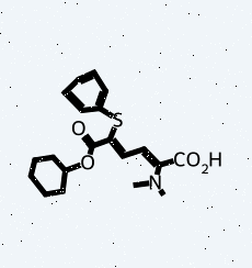 CN(C)/C(=C\C=C(/Sc1ccccc1)C(=O)OC1CCCCC1)C(=O)O